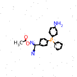 CC(=O)O/N=C(\C#N)c1ccc(P(c2ccccc2)c2ccc(N)cc2)cc1